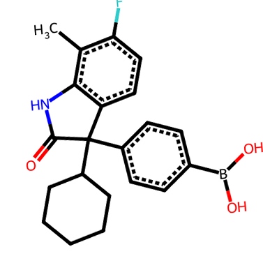 Cc1c(F)ccc2c1NC(=O)C2(c1ccc(B(O)O)cc1)C1CCCCC1